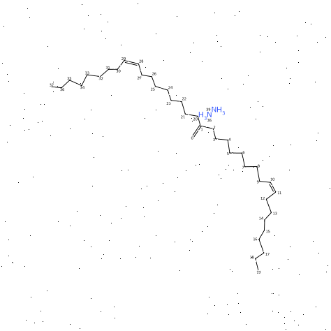 C=C(CCCCCCCC/C=C\CCCCCCCC)CCCCCCCC/C=C\CCCCCCCC.N.N